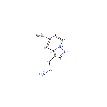 COc1ccn2ncc(CCN)c2c1